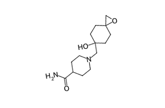 NC(=O)C1CCN(CC2(O)CCC3(CC2)CO3)CC1